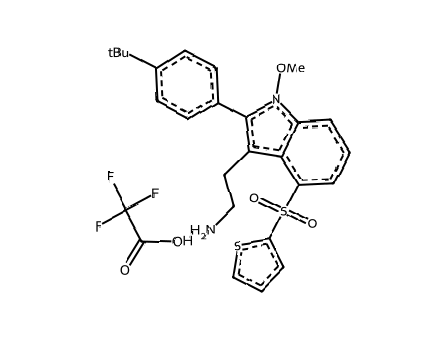 COn1c(-c2ccc(C(C)(C)C)cc2)c(CCN)c2c(S(=O)(=O)c3cccs3)cccc21.O=C(O)C(F)(F)F